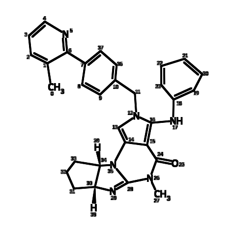 Cc1cccnc1-c1ccc(Cn2cc3c(c2Nc2ccccc2)C(=O)N(C)C2=N[C@@H]4CCC[C@@H]4N23)cc1